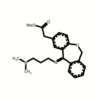 COC(=O)Cc1ccc2c(c1)C(=NCCCN(C)C)c1ccccc1CO2